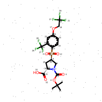 CC(C)(C)OC(=O)N1C[C@H](S(=O)(=O)c2ccc(OCC(F)(F)F)cc2C(F)(F)F)C[C@H]1C(=O)O